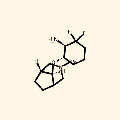 CC(C)N1CC2CC[C@H](C1)[C@H]2O[C@H]1CCCC(F)(F)[C@@H]1N